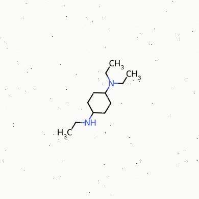 CCNC1CCC(N(CC)CC)CC1